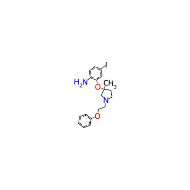 CC1(Oc2cc(I)ccc2N)CCN(CCOc2ccccc2)C1